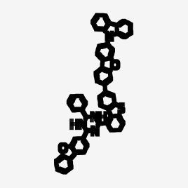 c1ccc(C2NC(c3ccc4c(c3)oc3ccccc34)=NC(C3=c4c(sc5cc(-c6ccc7c(c6)oc6cc(-n8c9ccccc9c9ccccc98)ccc67)ccc45)=CCC3)N2)cc#1